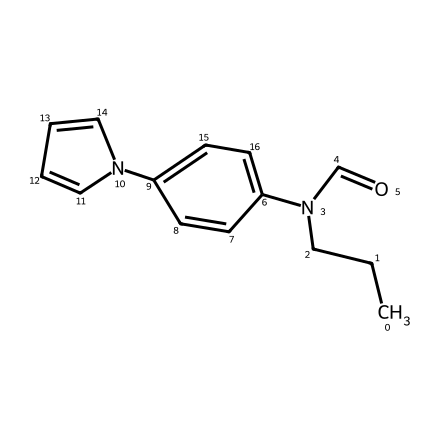 CCCN(C=O)c1ccc(-n2cccc2)cc1